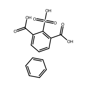 O=C(O)c1cccc(C(=O)O)c1S(=O)(=O)O.c1ccccc1